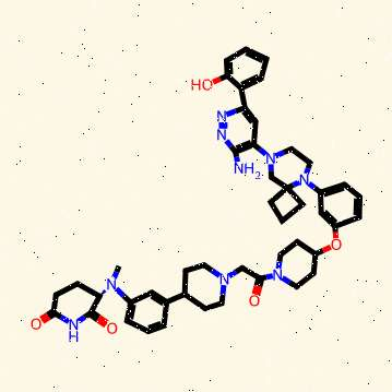 CN(c1cccc(C2CCN(CC(=O)N3CCC(Oc4cccc(N5CCN(c6cc(-c7ccccc7O)nnc6N)CC56CCC6)c4)CC3)CC2)c1)[C@H]1CCC(=O)NC1=O